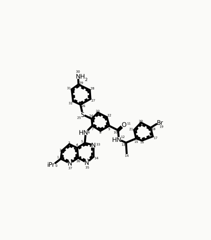 CC(C)c1ccc2c(Nc3cc(C(=O)NC(C)c4ccc(Br)cc4)ccc3Sc3ccc(N)cc3)ncnc2n1